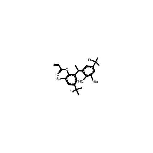 C=CC(=O)Oc1c(C(C)c2cc(C(C)(C)CC)cc(C(C)(C)C)c2O)cc(C(C)(C)CC)cc1C(C)(C)C